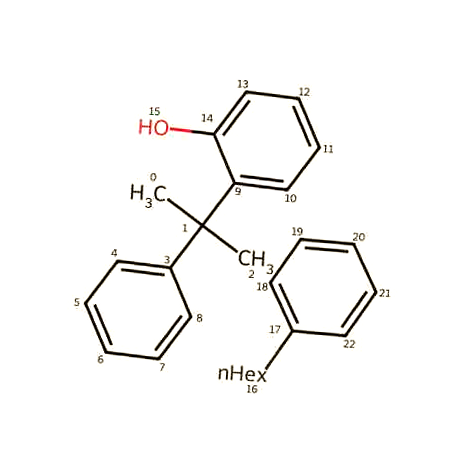 CC(C)(c1ccccc1)c1ccccc1O.CCCCCCc1ccccc1